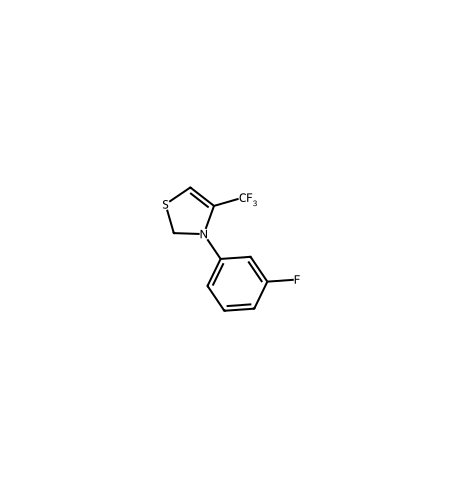 Fc1cccc(N2CSC=C2C(F)(F)F)c1